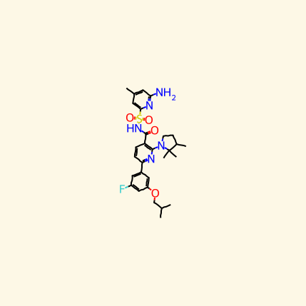 Cc1cc(N)nc(S(=O)(=O)NC(=O)c2ccc(-c3cc(F)cc(OCC(C)C)c3)nc2N2CCC(C)C2(C)C)c1